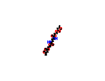 CC(=O)CC(=O)OCCOC(=O)NCCNC(=O)OCCOC(=O)CC(C)=O